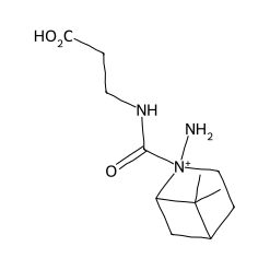 CC1(C)C2CC[N+](N)(C(=O)NCCC(=O)O)C1C2